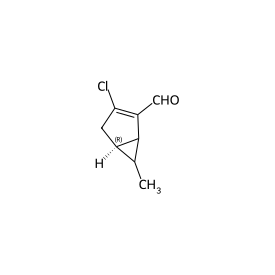 CC1C2C(C=O)=C(Cl)C[C@H]12